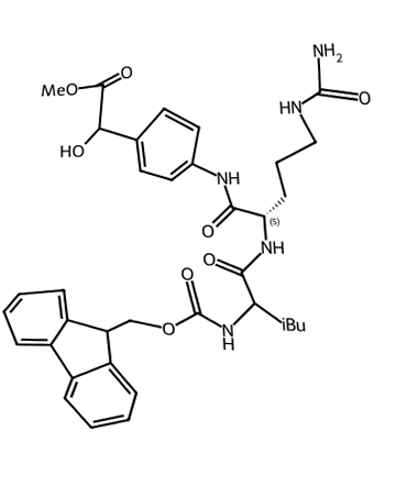 CCC(C)C(NC(=O)OCC1c2ccccc2-c2ccccc21)C(=O)N[C@@H](CCCNC(N)=O)C(=O)Nc1ccc(C(O)C(=O)OC)cc1